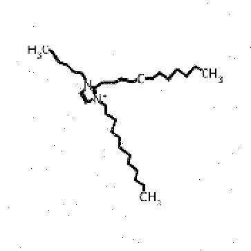 CCCCCCCCCCCCc1n(CCCCCC)cc[n+]1CCCCCCCCCCCC